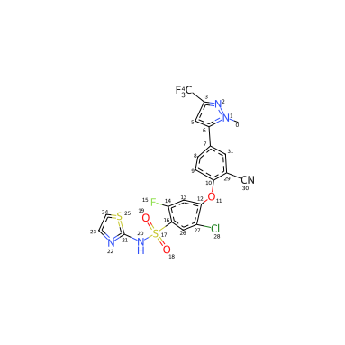 Cn1nc(C(F)(F)F)cc1-c1ccc(Oc2cc(F)c(S(=O)(=O)Nc3nccs3)cc2Cl)c(C#N)c1